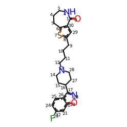 O=C1NCCCc2sc(CCCCN3CCC(c4noc5cc(F)ccc45)CC3)cc21